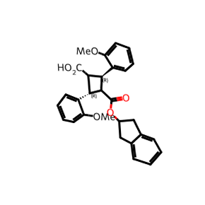 COc1ccccc1[C@@H]1C(C(=O)O)[C@@H](c2ccccc2OC)C1C(=O)OC1Cc2ccccc2C1